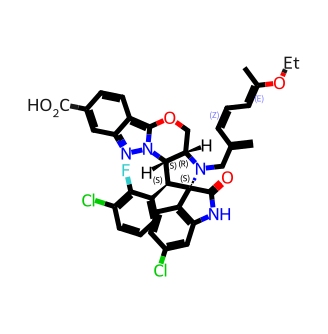 C=C(/C=C\C=C(/C)OCC)CN1[C@H]2COc3c4ccc(C(=O)O)cc4nn3[C@H]2[C@H](c2cccc(Cl)c2F)[C@]12C(=O)Nc1cc(Cl)ccc12